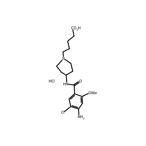 COc1cc(N)c(Cl)cc1C(=O)NC1CCN(CCCCC(=O)O)CC1.Cl